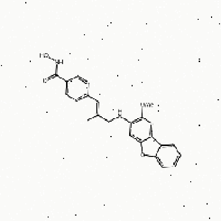 COc1cc2c(cc1NCC(C)=Cc1ccc(C(=O)NO)cc1)oc1ccccc12